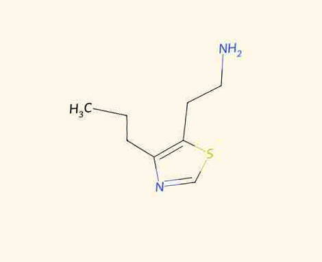 CCCc1ncsc1CCN